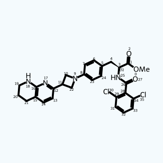 COC(=O)[C@H](Cc1ccc(N2CC(c3ccc4c(n3)NCCC4)C2)cc1)NC(=O)c1c(Cl)cccc1Cl